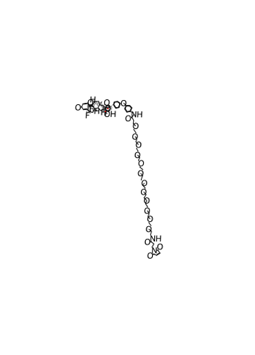 C[C@]12C[C@@H]3O[C@]45C=CC(=O)C=C4[C@@H](F)C[C@@H](C1C[C@H]1O[C@@H](c4ccc(Oc6ccc(NC(=O)CCOCCOCCOCCOCCOCCOCCOCCOCCOCCOCCOCCOCCNC(=O)CCN7C(=O)C=CC7=O)cc6)cc4)O[C@]12C(=O)CO)[C@]35F